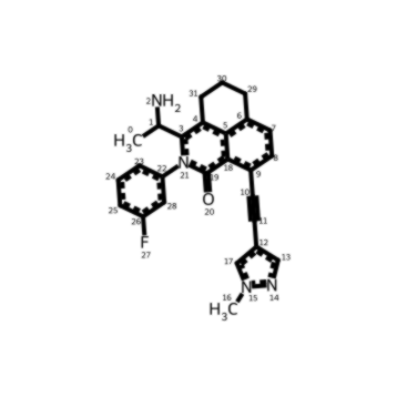 CC(N)c1c2c3c(ccc(C#Cc4cnn(C)c4)c3c(=O)n1-c1cccc(F)c1)CCC2